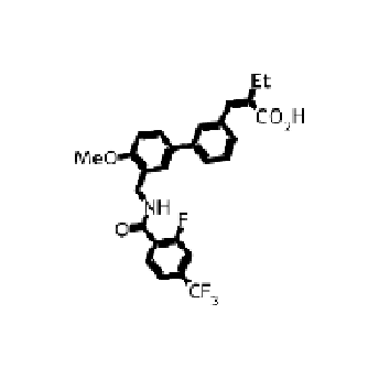 CCC(=Cc1cccc(-c2ccc(OC)c(CNC(=O)c3ccc(C(F)(F)F)cc3F)c2)c1)C(=O)O